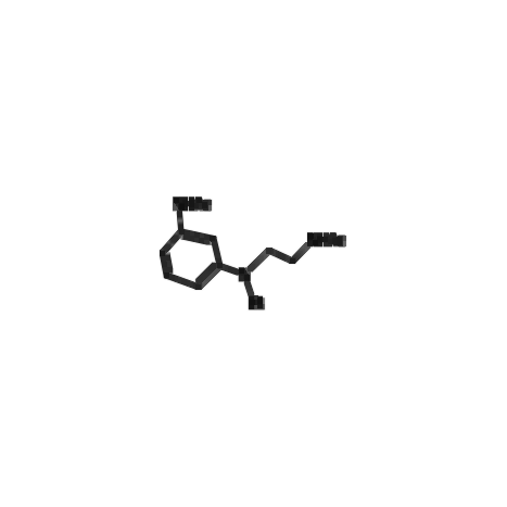 CCN(CCNC(C)=O)c1cccc(NC(C)=O)c1